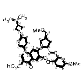 CO/N=C1/C[C@H](COc2nc(OC)ccc2Cl)N(c2cc3c(cc2Cl)c(=O)c(C(=O)O)cn3-c2ccc(N3CC(N(C)C)C3)nc2)C1